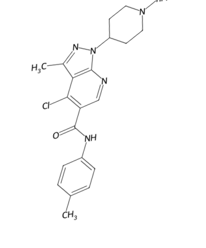 CCCN1CCC(n2nc(C)c3c(Cl)c(C(=O)Nc4ccc(C)cc4)cnc32)CC1